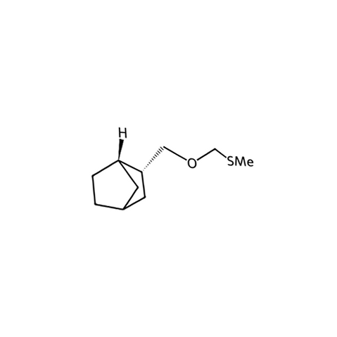 CSCOC[C@@H]1CC2CC[C@H]1C2